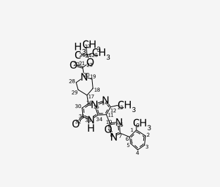 Cc1ccccc1-c1noc(-c2c(C)nn3c(C4CCN(C(=O)OC(C)(C)C)CC4)cc(=O)[nH]c23)n1